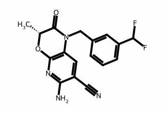 C[C@H]1Oc2nc(N)c(C#N)cc2N(Cc2cccc(C(F)F)c2)C1=O